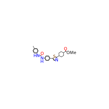 COC(=O)C1CCC(c2ncc(-c3ccc(NC(=O)Nc4ccc(C)cc4)cc3)s2)CC1